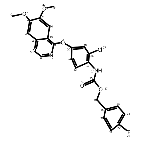 COc1cc2ncnc(Oc3ccc(NC(=O)OCc4ccc(F)cc4)c(Cl)c3)c2cc1OC